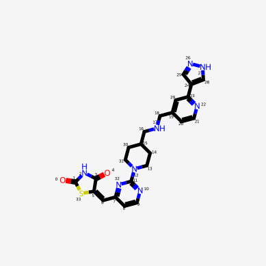 O=C1NC(=O)/C(=C\c2ccnc(N3CCC(CNCc4ccnc(-c5cn[nH]c5)c4)CC3)n2)S1